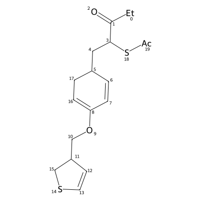 CCC(=O)C(CC1C=CC(OCC2C=CSC2)=CC1)SC(C)=O